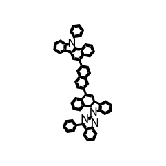 C1=C(c2ccc3cc(-c4cc5c6ccccc6n(-c6ccccc6)c5c5ccccc45)ccc3c2)c2ccccc2C2C1c1ccccc1N2c1nc(-c2ccccc2)c2ccccc2n1